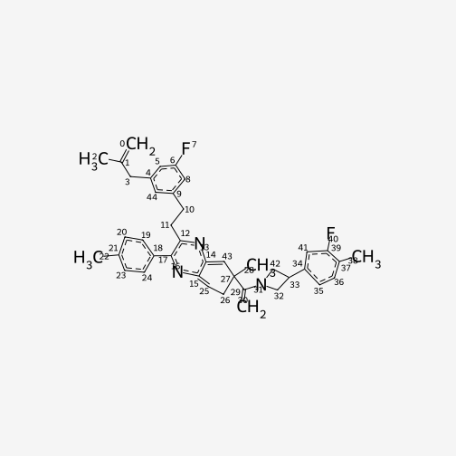 C=C(C)Cc1cc(F)cc(CCc2nc3c(nc2-c2ccc(C)cc2)=CCC(C)(C(=C)N2CC(c4ccc(C)c(F)c4)C2)C=3)c1